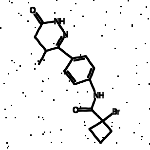 CC1CC(=O)NN=C1c1ccc(NC(=O)C2(Br)CCC2)cc1